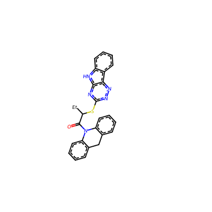 CCC(Sc1nnc2c(n1)[nH]c1ccccc12)C(=O)N1c2ccccc2Cc2ccccc21